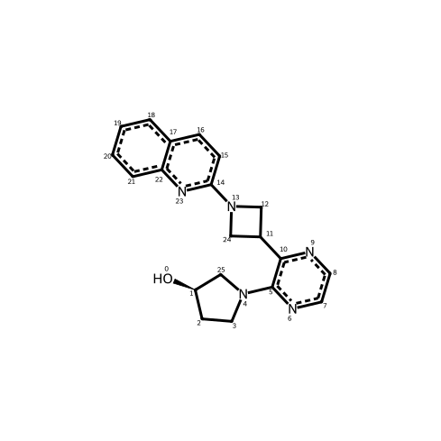 O[C@@H]1CCN(c2nccnc2C2CN(c3ccc4ccccc4n3)C2)C1